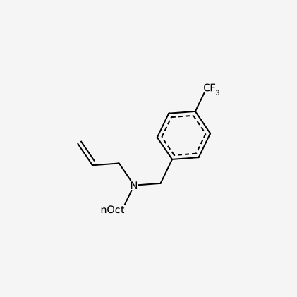 C=CCN(CCCCCCCC)Cc1ccc(C(F)(F)F)cc1